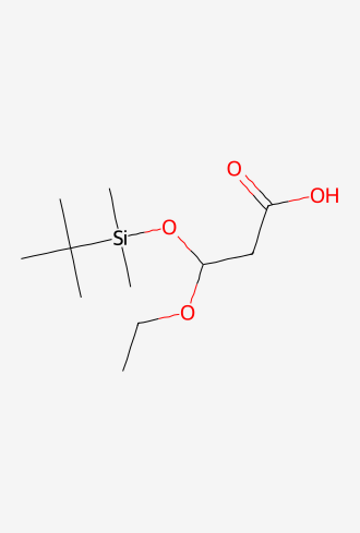 CCOC(CC(=O)O)O[Si](C)(C)C(C)(C)C